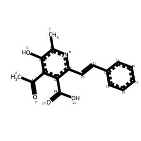 CC(=O)c1c(O)c(C)nc(C=Cc2ccccc2)c1C(=O)O